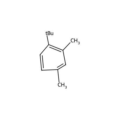 Cc1ccc(C(C)(C)C)c(C)c1